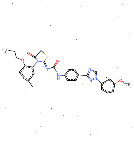 Cc1ccc(OCCC(F)(F)F)c(N2C(=O)CS/C2=N\C(=O)Nc2ccc(-c3ncn(-c4cccc(OC(F)(F)F)c4)n3)cc2)c1